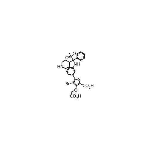 CS(=O)(=O)C(Nc1cccc(-c2sc(C(=O)O)c(OCC(=O)O)c2Br)c1)(c1ccccc1)C1CCNCC1